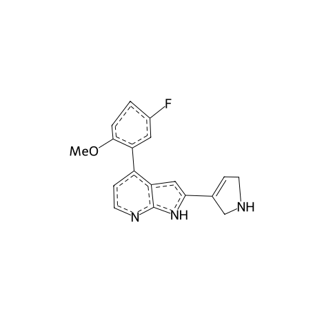 COc1ccc(F)cc1-c1ccnc2[nH]c(C3=CCNC3)cc12